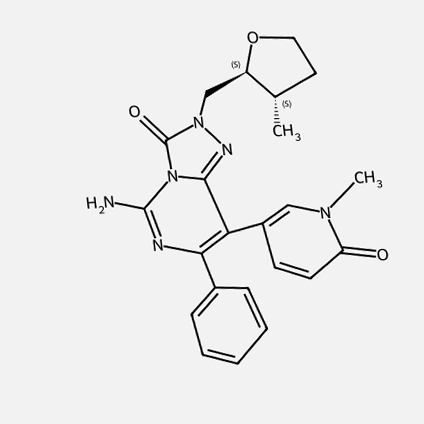 C[C@H]1CCO[C@@H]1Cn1nc2c(-c3ccc(=O)n(C)c3)c(-c3ccccc3)nc(N)n2c1=O